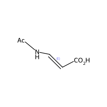 CC(=O)N/C=C/C(=O)O